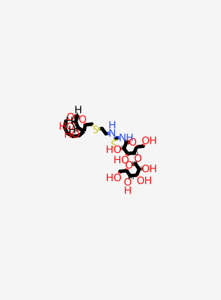 OCC1O[C@@H](O[C@@H]2C(CO)O[C@@H](NC(=S)NCCSCC3O[C@@H]4OCCCCCC3[C@@H](O)[C@@H]4O)[C@@H](O)C2O)[C@@H](O)C(O)[C@H]1O